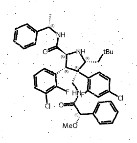 CO[C@H](C(=O)NC[C@]1(c2ccc(Cl)cc2F)[C@H](c2cccc(Cl)c2F)[C@@H](C(=O)N[C@@H](C)c2ccccc2)N[C@@H]1CC(C)(C)C)c1ccccc1